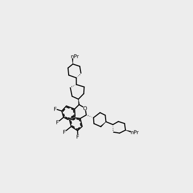 CCC[C@H]1CC[C@H]([C@H]2CC[C@H](C(OC(c3ccc(F)c(F)c3)[C@H]3CC[C@H]([C@H]4CC[C@H](CCC)CC4)CC3)c3ccc(F)c(F)c3)CC2)CC1